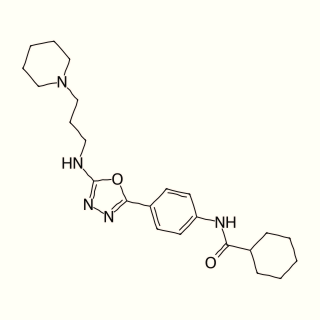 O=C(Nc1ccc(-c2nnc(NCCCN3CCCCC3)o2)cc1)C1CCCCC1